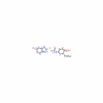 COc1cc(NC(=O)CSc2nc3cc(I)ncc3[nH]2)ccc1O